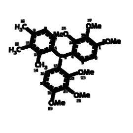 COc1ccc(P(c2ccc(C)c(C)c2C)c2ccc(OC)c(OC)c2OC)c(OC)c1OC